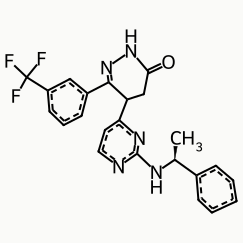 C[C@H](Nc1nccc(C2CC(=O)NN=C2c2cccc(C(F)(F)F)c2)n1)c1ccccc1